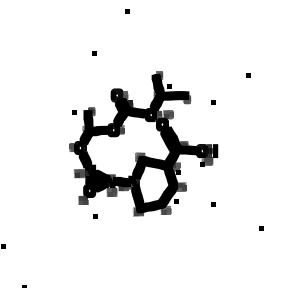 CC(C)OC(=O)OC(C)On1on1N1CCCC(C(=O)O)C1